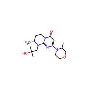 CC1COCCN1c1cc(=O)n2c(n1)N(CC(C)(C)O)[C@H](C(F)(F)F)CC2